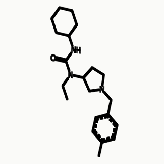 CCN(C(=O)NC1CCCCC1)C1CCN(Cc2ccc(C)cc2)C1